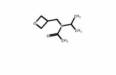 CC(=O)N(CC1COC1)C(C)C